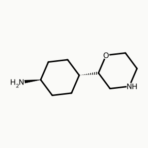 N[C@H]1CC[C@H](C2CNCCO2)CC1